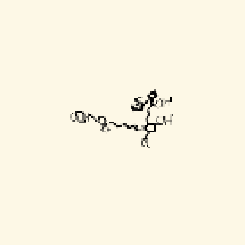 N#CC1CC(O)C(CCCC(O)C2(c3cccs3)CCC2)[C@H]1CCCCCCC(=O)OCCN1CCOCC1